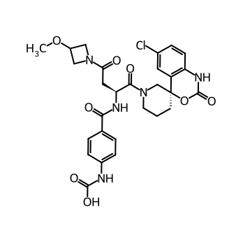 COC1CN(C(=O)C[C@H](NC(=O)c2ccc(NC(=O)O)cc2)C(=O)N2CCC[C@@]3(C2)OC(=O)Nc2ccc(Cl)cc23)C1